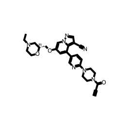 C#CC(=O)N1CCN(c2ccc(-c3cc(OC[C@H]4CN(CC)CCO4)cn4ncc(C#N)c34)cn2)CC1